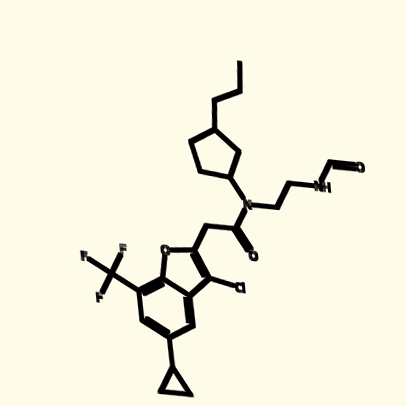 CCCC1CCC(N(CCNC=O)C(=O)Cc2oc3c(C(F)(F)F)cc(C4CC4)cc3c2Cl)C1